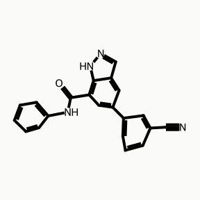 N#Cc1cccc(-c2cc(C(=O)Nc3ccccc3)c3[nH]ncc3c2)c1